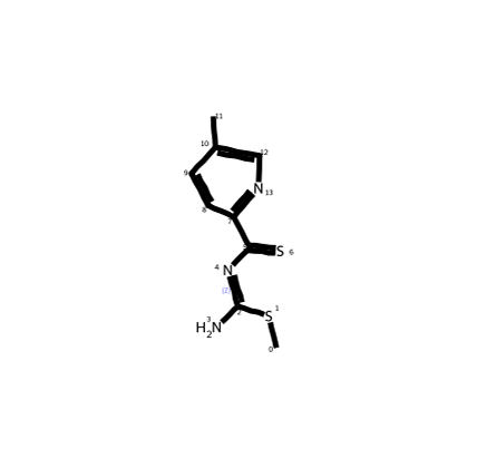 CS/C(N)=N\C(=S)c1ccc(C)cn1